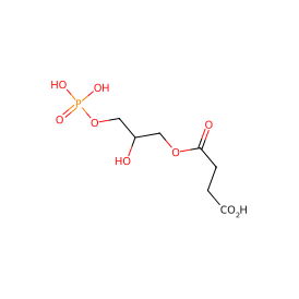 O=C(O)CCC(=O)OCC(O)COP(=O)(O)O